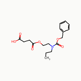 CCCN(CCOC(=O)CCC(=O)O)C(=O)OCc1ccccc1